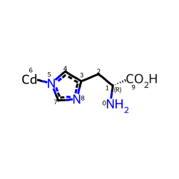 N[C@H](Cc1c[n]([Cd])cn1)C(=O)O